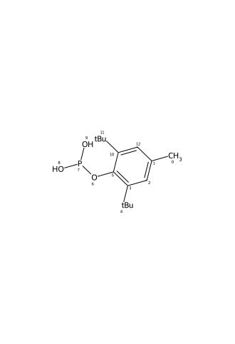 Cc1cc(C(C)(C)C)c(OP(O)O)c(C(C)(C)C)c1